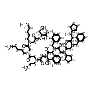 C=CCN(CC(=O)N(CCCCN)CC(=O)N(CCCCN)CC(=O)NC(CS)C(N)=O)C(=O)CN(C(=O)CN(Cc1ccccc1)C(=O)CN(C(=O)CN(Cc1ccccc1)C(=O)CNC1CCCC1)C1CCCC1)C(C)c1ccccc1